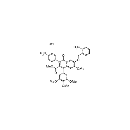 COC(=O)c1c(-c2cc(OC)c(OC)c(OC)c2)c2cc(OC)c(OCc3ccccc3[N+](=O)[O-])cc2c(=O)n1-c1ccc(N)cc1.Cl